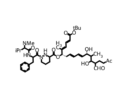 CNC(C(=O)NC(Cc1ccccc1)C(=O)N1CCCC(C(=O)O[C@@H](C/C=C/C=C/[C@H](O)C(C)C(O)C(C=O)CCC(C)=O)/C(C)=C/C=C/C(=O)OC(C)(C)C)N1)C(C)C